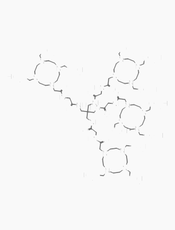 O=C(O)CN1CCN(CC(=O)O)CCN(CC(=O)NCC(=O)NCC(CNC(=O)CNC(=O)CN2CCN(CC(=O)O)CCN(CC(=O)O)CCN(CC(=O)O)CC2)(CNC(=O)CNC(=O)CN2CCN(CC(=O)O)CCN(CC(=O)O)CCN(CC(=O)O)CC2)CNC(=O)CNC(=O)CN2CCN(CC(=O)O)CCN(CC(=O)O)CCN(CC(=O)O)CC2)CCN(CC(=O)O)CC1